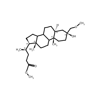 COC[C@]1(O)CC[C@]2(C)C3CC[C@@]4(C)C(CC[C@@H]4[C@H](C)CCC(=O)OC)C3CC[C@H]2C1